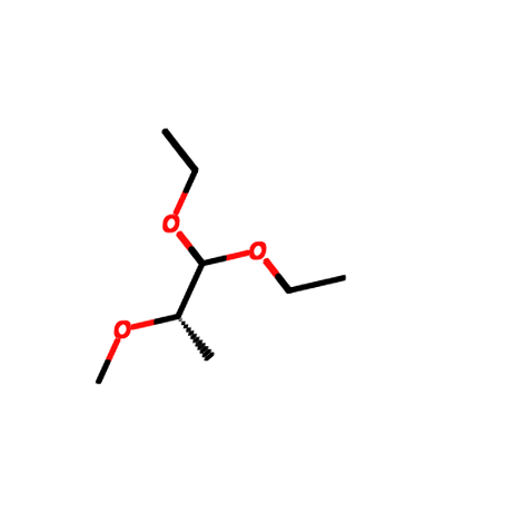 CCOC(OCC)[C@H](C)OC